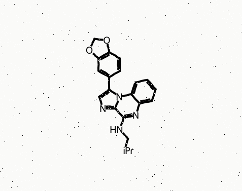 CC(C)CNc1nc2ccccc2n2c(-c3ccc4c(c3)OCO4)cnc12